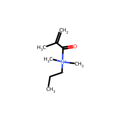 C=C(C)C(=O)[N+](C)(C)[CH]CC